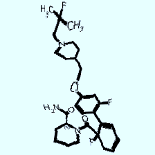 CC(C)(F)CN1CCC(COc2ccc(C3=CC=CCC3(F)C(=O)N3CCCC[C@H]3C(N)=O)c(F)c2)CC1